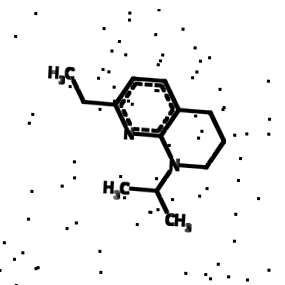 CCc1ccc2c(n1)N(C(C)C)CCC2